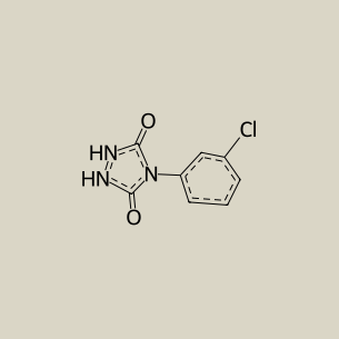 O=c1[nH][nH]c(=O)n1-c1cccc(Cl)c1